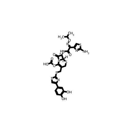 CC(C)ON=C(C(=O)N[C@@H]1C(=O)N2C(OC(=O)O)=C(CSc3nc(-c4ccc(O)c(O)c4)cs3)CS[C@@H]12)c1csc(N)n1